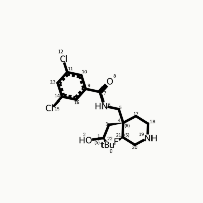 CC(C)(C)[C@@H](O)C[C@@]1(CNC(=O)c2cc(Cl)cc(Cl)c2)CCNC[C@H]1F